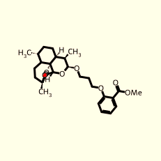 COC(=O)c1ccccc1OCCCO[C@H]1O[C@@H]2O[C@@]3(C)CCC4[C@H](C)CC[C@@H]([C@H]1C)[C@]42OO3